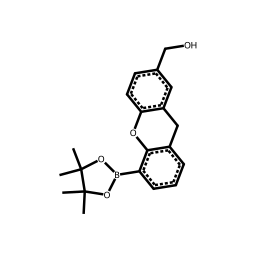 CC1(C)OB(c2cccc3c2Oc2ccc(CO)cc2C3)OC1(C)C